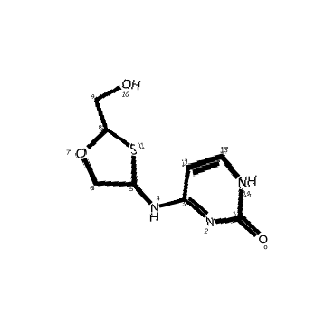 O=c1nc(NC2COC(CO)S2)cc[nH]1